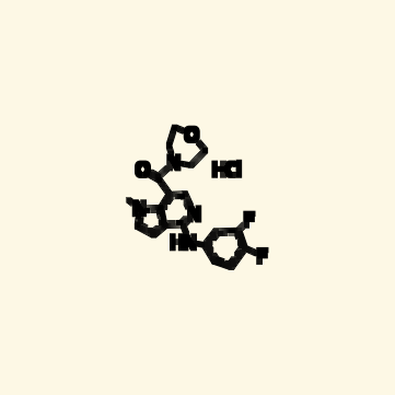 Cl.Cn1ccc2c(Nc3ccc(F)c(F)c3)ncc(C(=O)N3CCOCC3)c21